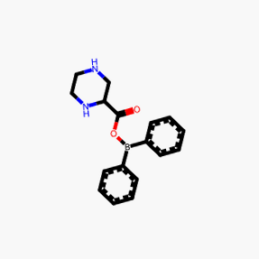 O=C(OB(c1ccccc1)c1ccccc1)C1CNCCN1